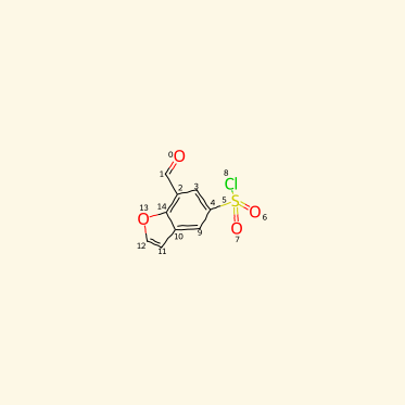 O=Cc1cc(S(=O)(=O)Cl)cc2ccoc12